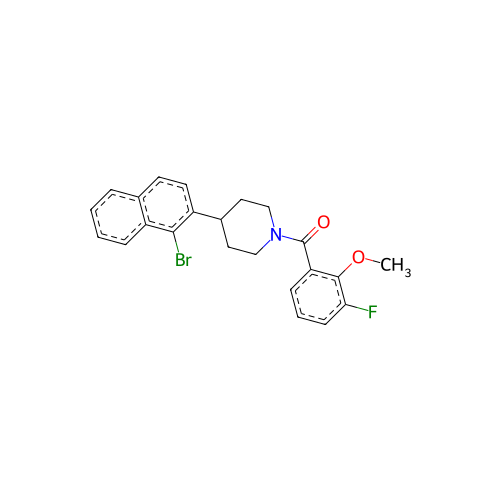 COc1c(F)cccc1C(=O)N1CCC(c2ccc3ccccc3c2Br)CC1